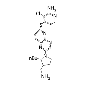 CCCCC1C(CN)CCN1c1cnc2nc(Sc3ccnc(N)c3Cl)ccc2n1